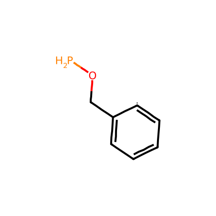 POCc1[c]cccc1